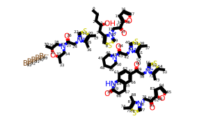 CCCC(O)Cc1csc[n+]1CC(=O)c1ccco1.Cc1sc[n+](CC(=O)N2CC(C)OC(C)C2)c1C.Cc1sc[n+](CC(=O)N2CCCCC2)c1C.Cc1sc[n+](CC(=O)c2ccc3c(c2)CCC(=O)N3)c1C.Cc1sc[n+](CC(=O)c2ccco2)c1C.[Br-].[Br-].[Br-].[Br-].[Br-]